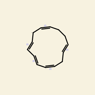 [CH]1/C=C\CC/C=C/C\C=C/C=C/C=C/1